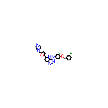 CN1CCN(Cc2ccc(-c3ccc4ncnc(Nc5ccc(OCc6cccc(F)c6)c(Cl)c5)c4c3)o2)CC1